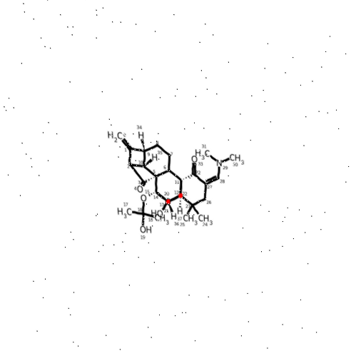 C=C1C2C(=O)[C@@]34C(CC[C@@H]1[C@@H]23)[C@@]12CO[C@]4(OC(C)(C)O)[C@@H](O)[C@@H]1C(C)(C)C/C(=C/N(C)C)C2=O